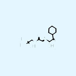 [CH2][C@H](N=CC(=O)OCC(C)(C)C)C(=O)C1CCCCC1